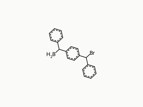 BC(c1ccccc1)c1ccc(C(Br)c2ccccc2)cc1